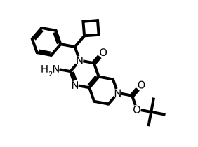 CC(C)(C)OC(=O)N1CCc2nc(N)n(C(c3ccccc3)C3CCC3)c(=O)c2C1